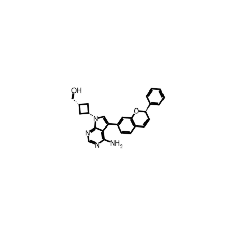 Nc1ncnc2c1c(-c1ccc3c(c1)O[C@@H](c1ccccc1)C=C3)cn2[C@H]1C[C@@H](CO)C1